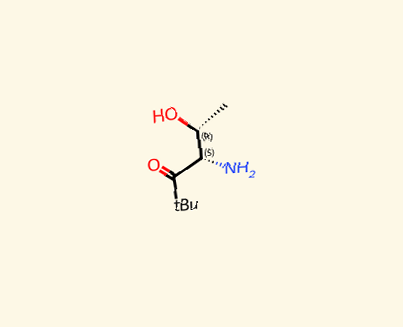 C[C@@H](O)[C@H](N)C(=O)C(C)(C)C